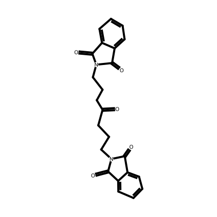 O=C(CCCN1C(=O)c2ccccc2C1=O)CCCN1C(=O)c2ccccc2C1=O